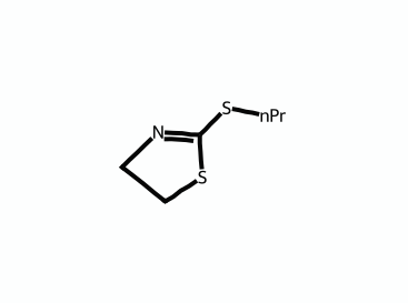 CCCSC1=NCCS1